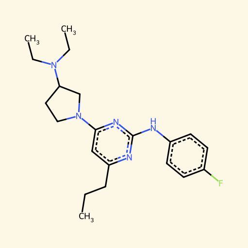 CCCc1cc(N2CCC(N(CC)CC)C2)nc(Nc2ccc(F)cc2)n1